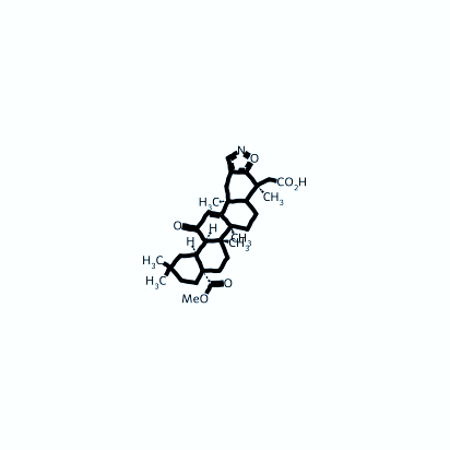 COC(=O)[C@]12CCC(C)(C)C[C@H]1[C@H]1C(=O)C=C3[C@@]4(C)Cc5cnoc5[C@@](C)(CC(=O)O)C4CC[C@@]3(C)[C@]1(C)CC2